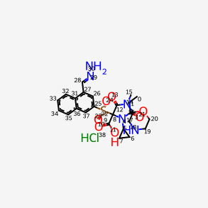 CCC(=O)N(C1CC1)C(C(=O)O)(C(=O)N(C)C1CNCCO1)S(=O)(=O)c1cc(C=NN)c2ccccc2c1.Cl